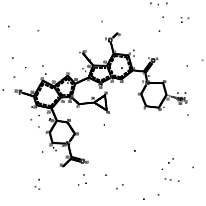 COc1cc(C(=O)N2CCC[C@@H](N)C2)cn2nc(-c3cc4cc(F)cc(C5CCN(C(C)=O)CC5)c4n3CC3CC3)c(C)c12